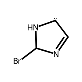 BrC1N=C[C]N1